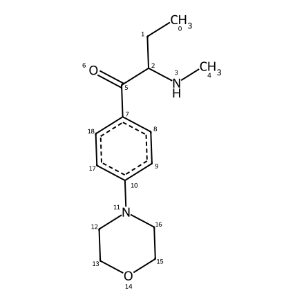 CCC(NC)C(=O)c1ccc(N2CCOCC2)cc1